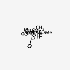 C=CC1C[C@]1(NC(=O)[C@@H]1C[C@@H](OCC#Cc2ccccc2)CN1C(=O)[C@@H](NC(=O)OC1CCCC1)C(C)(C)C)C(=O)OC